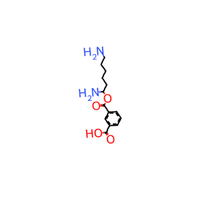 NCCCCCC(N)OC(=O)c1cccc(C(=O)O)c1